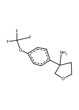 NC1(c2ccc(OC(F)(F)F)cc2)CCOC1